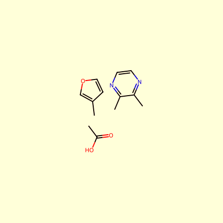 CC(=O)O.Cc1ccoc1.Cc1nccnc1C